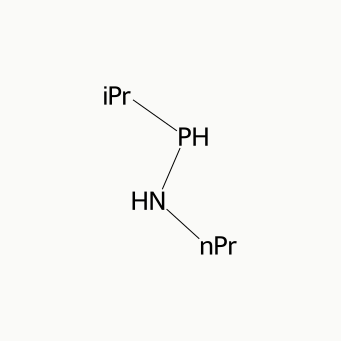 CCCNPC(C)C